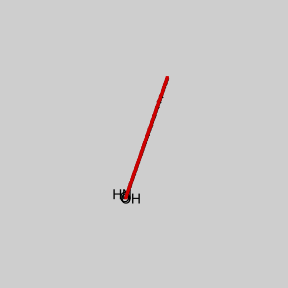 CCCCCCCCCCCCCCCCCCCCCCCCCCCCCCCCCCCCCCCCCCCCCCCCCCCCCCCCCCCCCCCCCCCCCCCCCCCCCCCCCCCCCCCCCCCCCCCCCCCCCCCCCCCCCCCCCCCCCCCCCCCCCCCCCCCCCCCCCCCCNCCCC(=O)O